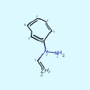 C=CN(N)c1ccccc1